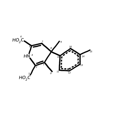 CC1=C(C(=O)O)NC(C(=O)O)=CC1(C)c1cccc(C)c1